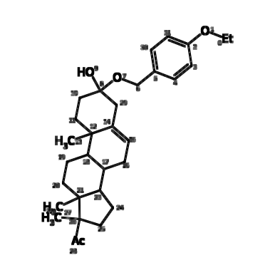 CCOc1ccc(COC2(O)CCC3(C)C(=CCC4C3CCC3(C)C4CCC3(C)C(C)=O)C2)cc1